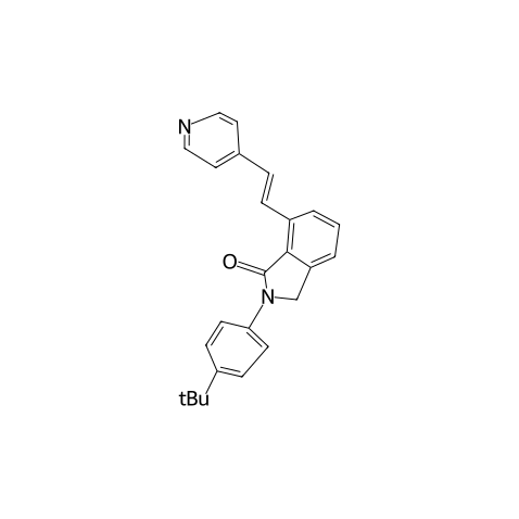 CC(C)(C)c1ccc(N2Cc3cccc(C=Cc4ccncc4)c3C2=O)cc1